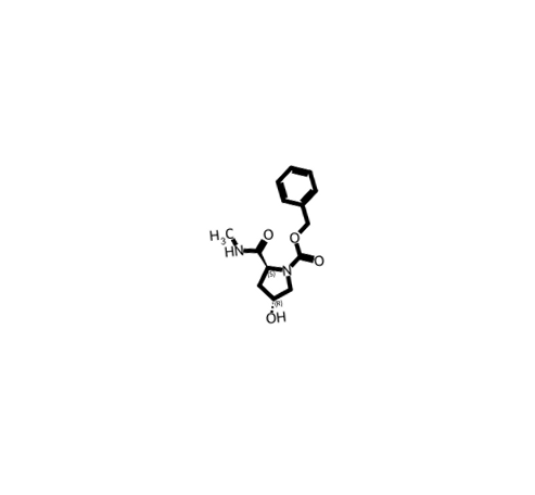 CNC(=O)[C@@H]1C[C@@H](O)CN1C(=O)OCc1ccccc1